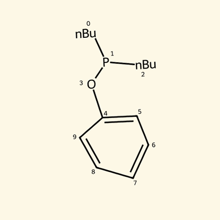 CCCCP(CCCC)Oc1ccccc1